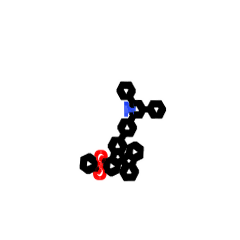 c1ccc(-c2cc(-c3ccccc3)nc(-c3ccc(-c4ccc5c(c4)C4(c6ccccc6-c6ccccc64)c4ccc6c(c4-5)Oc4ccccc4O6)cc3)c2)cc1